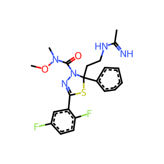 CON(C)C(=O)N1N=C(c2cc(F)ccc2F)SC1(CCNC(C)=N)c1ccccc1